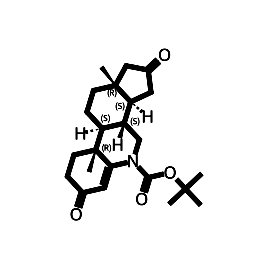 CC(C)(C)OC(=O)N1C[C@H]2[C@@H]3CC(=O)C[C@@]3(C)CC[C@@H]2[C@@]2(C)CCC(=O)C=C12